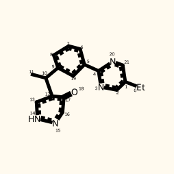 CCc1cnc(-c2cccc(C(C)c3c[nH]ncc3=O)c2)nc1